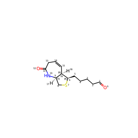 O=CCCCC[C@H]1SC[C@H]2NC(=O)CC=C[C@H]21